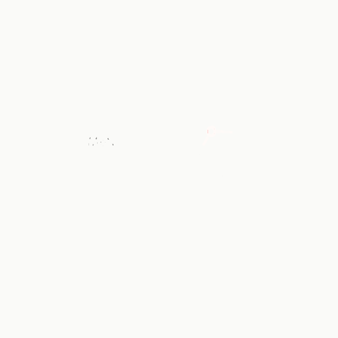 CNCc1cccc2c1OCC2